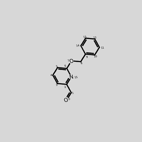 O=Cc1cccc(OCc2ccccc2)n1